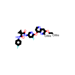 COCCOc1cc2nccc(Oc3ncc(NC(=O)C4(C(=O)Nc5ccc(F)cc5)CC4)cc3F)c2nc1OC